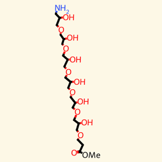 COC(=O)CCOCC(O)COCC(O)COCC(O)COCC(O)COCC(O)COCC(O)CN